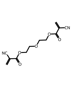 C=C(C#N)C(=O)OCCOCCOC(=O)C(=C)C#N